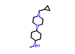 CNC1CCC(N2CCN(CC3CC3)CC2)CC1